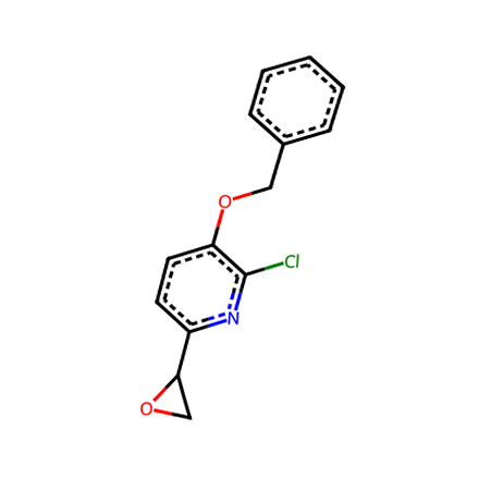 Clc1nc(C2CO2)ccc1OCc1ccccc1